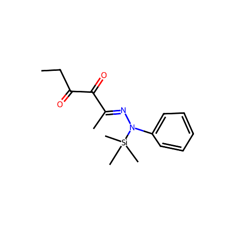 CCC(=O)C(=O)C(C)=NN(c1ccccc1)[Si](C)(C)C